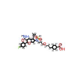 CNC(=O)c1cc2c(C3CC3)c(N(CCCOCCCc3ccc(C(=O)O)cc3)S(C)(=O)=O)cc-2oc1-c1ccc(F)cc1